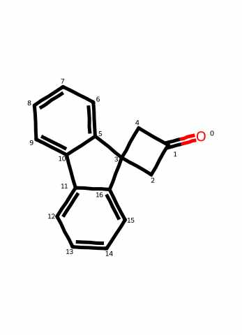 O=C1CC2(C1)c1ccccc1-c1ccccc12